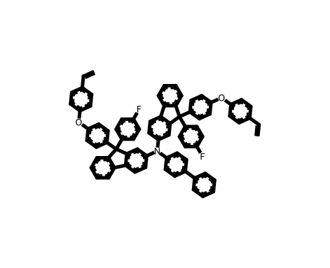 C=Cc1ccc(Oc2ccc(C3(c4ccc(F)cc4)c4ccccc4-c4ccc(N(c5ccc(-c6ccccc6)cc5)c5ccc6c(c5)C(c5ccc(F)cc5)(c5ccc(Oc7ccc(C=C)cc7)cc5)c5ccccc5-6)cc43)cc2)cc1